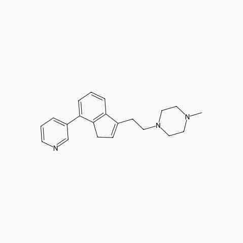 CN1CCN(CCC2=CCc3c2cccc3-c2cccnc2)CC1